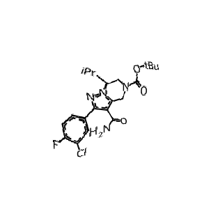 CC(C)C1CN(C(=O)OC(C)(C)C)Cc2c(C(N)=O)c(-c3ccc(F)c(Cl)c3)nn21